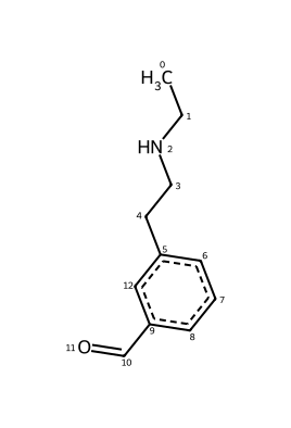 CCNCCc1cccc(C=O)c1